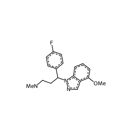 CNCCC(c1ccc(F)cc1)n1ncc2c(OC)cccc21